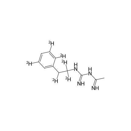 [2H]c1cc([2H])c([2H])c(C([2H])C([2H])([2H])NC(=N)NC(C)=N)c1